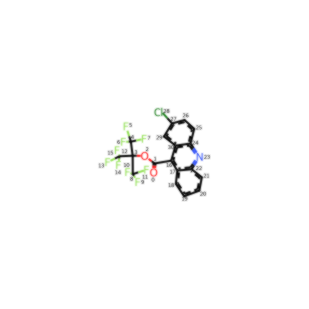 O=C(OC(C(F)(F)F)(C(F)(F)F)C(F)(F)F)c1c2ccccc2nc2ccc(Cl)cc12